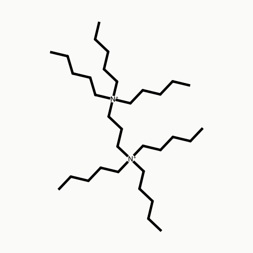 CCCCC[N+](CCCCC)(CCCCC)CCC[N+](CCCCC)(CCCCC)CCCCC